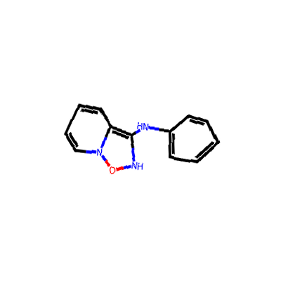 C1=CC2=C(Nc3ccccc3)NON2C=C1